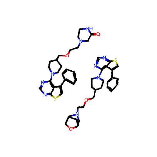 O=C1CN(CCOCC2CCN(c3ncnc4scc(-c5ccccc5)c34)CC2)CCN1.c1ccc(-c2csc3ncnc(N4CCC(COCCN5CC6CC5CO6)CC4)c23)cc1